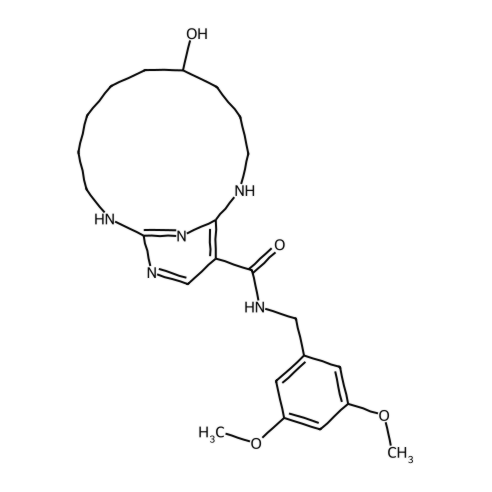 COc1cc(CNC(=O)c2cnc3nc2NCCCC(O)CCCCCN3)cc(OC)c1